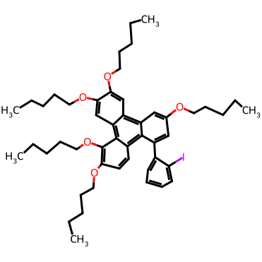 CCCCCOc1cc(-c2ccccc2I)c2c(c1)c1cc(OCCCCC)c(OCCCCC)cc1c1c(OCCCCC)c(OCCCCC)ccc21